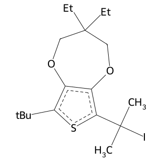 CCC1(CC)COc2c(C(C)(C)C)sc(C(C)(C)I)c2OC1